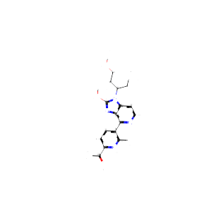 CCC(CCOC)n1c(OC)nc2c(-c3ccc(C(C)=O)nc3C)nccc21